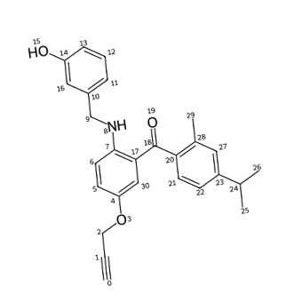 C#CCOc1ccc(NCc2cccc(O)c2)c(C(=O)c2ccc(C(C)C)cc2C)c1